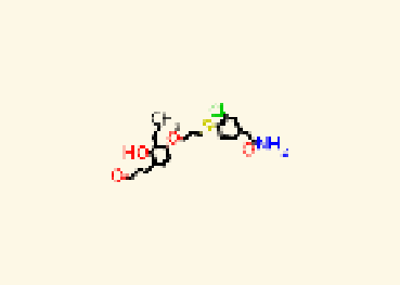 CCCc1c(OCCCSc2ccc(CC(N)=O)cc2Cl)ccc(CCC=O)c1O